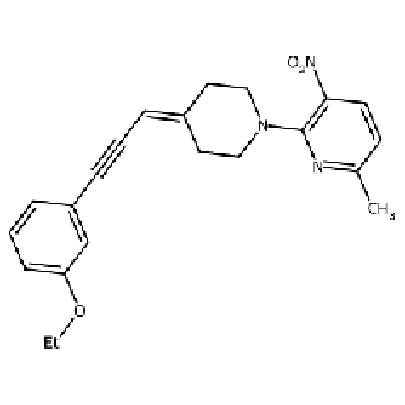 CCOc1cccc(C#CC=C2CCN(c3nc(C)ccc3[N+](=O)[O-])CC2)c1